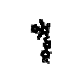 Cc1ccc(-c2nc(CSc3nc(Cl)c(C#N)c(-c4cncs4)c3C#N)cs2)cc1